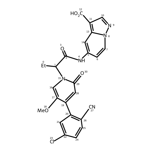 CCC(C(=O)Nc1ccn2ncc(C(=O)O)c2c1)n1cc(OC)c(-c2cc(Cl)ccc2C#N)cc1=O